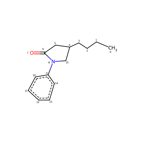 CCCCC1CC(=O)N(c2ccccc2)C1